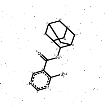 CC(C)(C)c1ncncc1C(=O)NC1C2CC3CC(C2)CC1C3